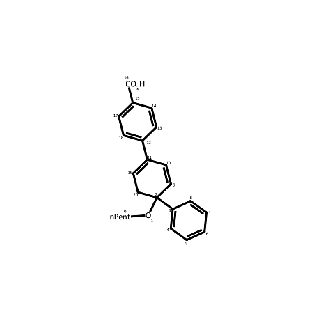 CCCCCOC1(c2ccccc2)C=CC(c2ccc(C(=O)O)cc2)=CC1